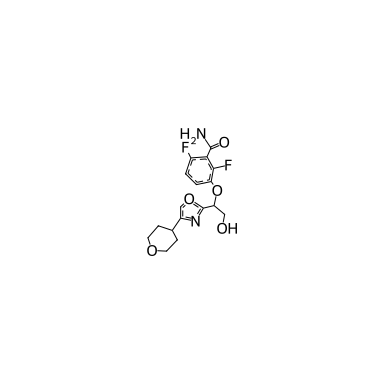 NC(=O)c1c(F)ccc(OC(CO)c2nc(C3CCOCC3)co2)c1F